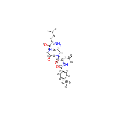 CC(C)CCC(N)C(=O)N1CC(=O)C2C1CCN2C(=O)C(CC(C)C)NC(=O)c1ccc(C(C)(C)C)cc1